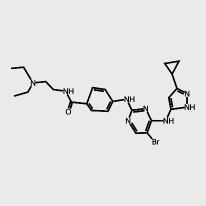 CCN(CC)CCNC(=O)c1ccc(Nc2ncc(Br)c(Nc3cc(C4CC4)n[nH]3)n2)cc1